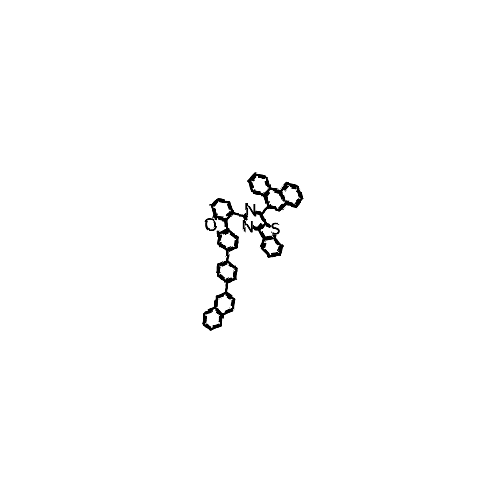 c1ccc2cc(-c3ccc(-c4ccc5c(c4)oc4cccc(-c6nc(-c7cc8ccccc8c8ccccc78)c7sc8ccccc8c7n6)c45)cc3)ccc2c1